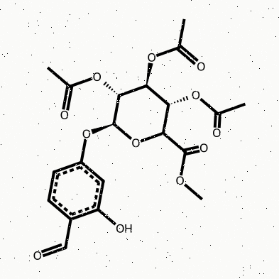 COC(=O)C1O[C@@H](Oc2ccc(C=O)c(O)c2)[C@H](OC(C)=O)[C@@H](OC(C)=O)[C@@H]1OC(C)=O